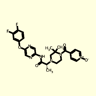 C[C@H](C(=O)Nc1cnc(Oc2ccc(F)c(F)c2)cn1)N1CCN(C(=O)c2cc[n+]([O-])cc2)C(C)(C)C1